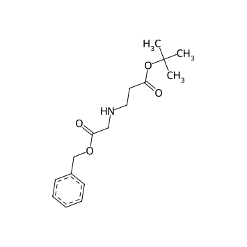 CC(C)(C)OC(=O)CCNCC(=O)OCc1ccccc1